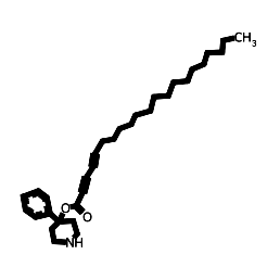 CCCCCCCCCCCCCCCCC#CC#CC(=O)OC1(c2ccccc2)CCNCC1